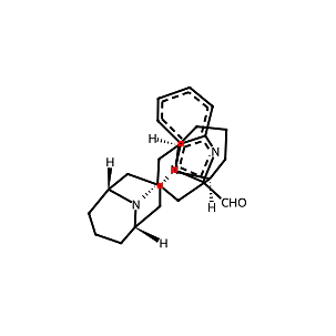 O=Cc1nc2ccccc2n1[C@H]1C[C@H]2CCC[C@@H](C1)N2[C@H]1C[C@@H]2CCC[C@@H](C2)C1